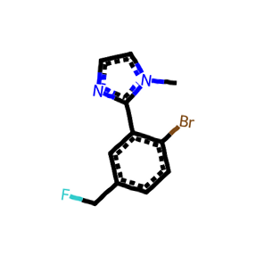 Cn1ccnc1-c1cc(CF)ccc1Br